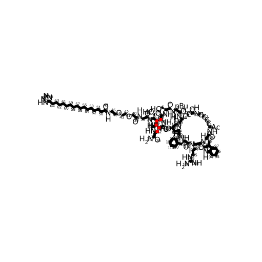 CCCC[C@H](NC(=O)[C@H](CO)NC(=O)[C@H](Cc1c[nH]cn1)NC(=O)[C@H](CCC(N)=O)NC(=O)[C@H](CO)NC(=O)CNC(=O)COCCOCCNC(=O)CCCCCCCCCCCCCCCc1nnn[nH]1)C(=O)N[C@H]1CCC(=O)NCCCC[C@@H](C(C)=O)NC(=O)[C@H](Cc2c[nH]c3ccccc23)NC(=O)[C@H](CCCNC(=N)N)NC(=O)[C@@H](Cc2ccccc2)NC(=O)[C@@H]2C[C@@H](O)CN2C1=O